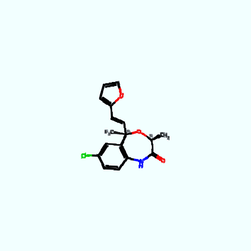 C[C@@H]1O[C@](C=Cc2ccco2)(C(F)(F)F)c2cc(Cl)ccc2NC1=O